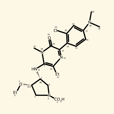 CCO[C@H]1CN(C(=O)O)C[C@H]1Nc1c(CC)nc(-c2ccc(N(C)C)cc2Cl)c(=O)n1C